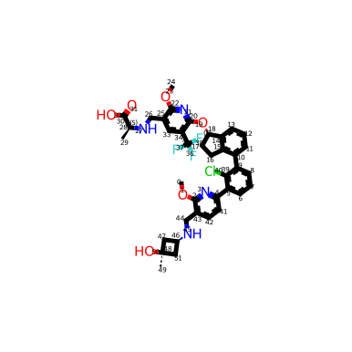 COc1nc(-c2cccc(-c3cccc4c3CC[C@@H]4Oc3nc(OC)c(CN[C@@H](C)C(=O)O)cc3C(F)(F)F)c2Cl)ccc1CN[C@H]1C[C@](C)(O)C1